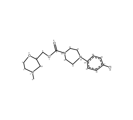 CN1CCOC(COC(=O)N2CCN(c3ccc(Cl)cc3)CC2)C1